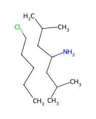 CC(C)C[C](N)CC(C)C.CCCCCCl